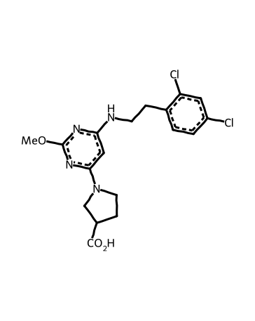 COc1nc(NCCc2ccc(Cl)cc2Cl)cc(N2CCC(C(=O)O)C2)n1